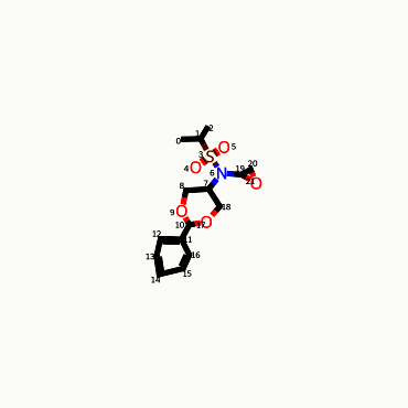 CC(C)S(=O)(=O)N(C1COC(c2ccccc2)OC1)C1CO1